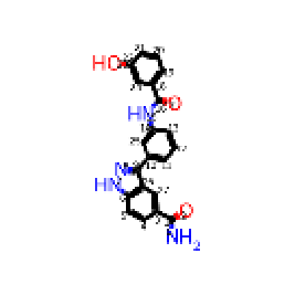 NC(=O)c1ccc2[nH]nc(-c3cccc(NC(=O)c4cccc(O)c4)c3)c2c1